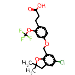 CC1(C)Cc2cc(Cl)cc(COc3ccc(CCC(=O)O)c(OC(F)(F)F)c3)c2O1